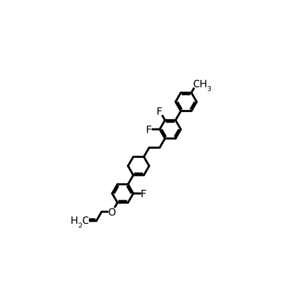 C=CCOc1ccc(C2=CCC(CCc3ccc(-c4ccc(C)cc4)c(F)c3F)CC2)c(F)c1